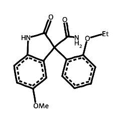 CCOc1ccccc1C1(C(N)=O)C(=O)Nc2ccc(OC)cc21